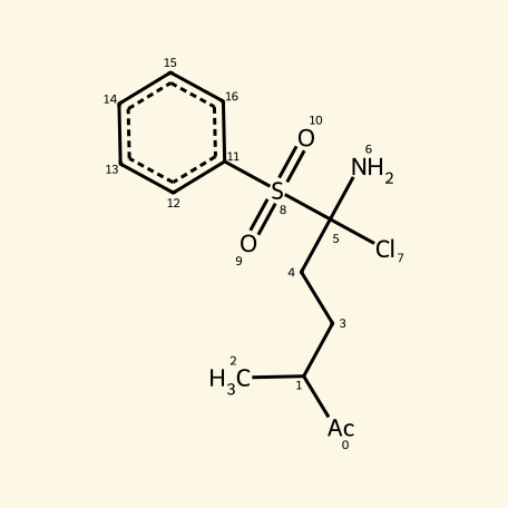 CC(=O)C(C)CCC(N)(Cl)S(=O)(=O)c1ccccc1